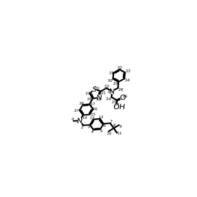 CN(Cc1ccc(CC(C)(C)C)cc1)c1ccc(-c2csc(CN(CC(=O)O)Cc3ccccc3)n2)cc1